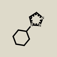 [c]1cn(C2CCCCC2)nn1